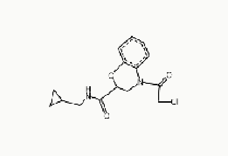 O=C(NCC1CC1)C1CN(C(=O)CCl)c2ccccc2O1